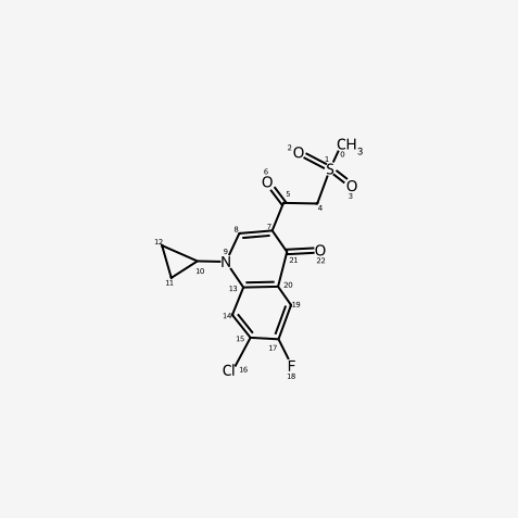 CS(=O)(=O)CC(=O)c1cn(C2CC2)c2cc(Cl)c(F)cc2c1=O